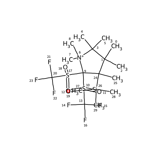 CC1(C)C(C)(C)[N+](C)(C)C(S(=O)(=O)C(F)(F)F)(S(=O)(=O)C(F)(F)F)C1(C)[Si](C)(C)C